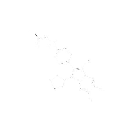 Cc1cc2c(cc1Br)c(C#N)c(-c1ccc(S(=O)(=O)N[C@@H](C)C(F)(F)F)cn1)n2C1CCCC1